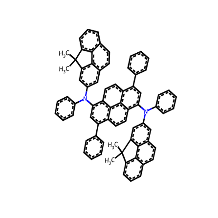 CC1(C)c2cccc3ccc4cc(N(c5ccccc5)c5cc(-c6ccccc6)c6ccc7c(N(c8ccccc8)c8cc9c%10c(ccc%11cccc(c%11%10)C9(C)C)c8)cc(-c8ccccc8)c8ccc5c6c87)cc1c4c23